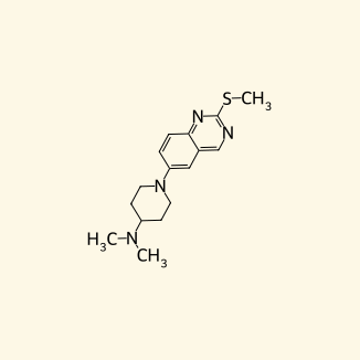 CSc1ncc2cc(N3CCC(N(C)C)CC3)ccc2n1